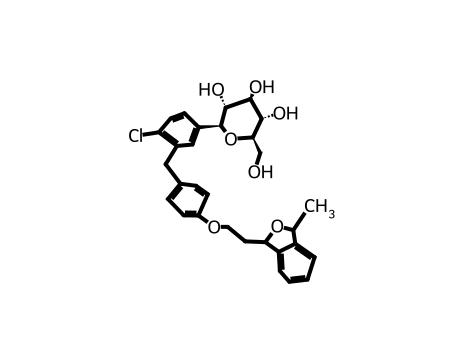 CC1OC(CCOc2ccc(Cc3cc([C@@H]4O[C@H](CO)[C@@H](O)[C@H](O)[C@H]4O)ccc3Cl)cc2)c2ccccc21